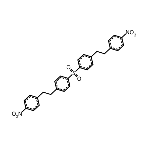 O=[N+]([O-])c1ccc(CCc2ccc(S(=O)(=O)c3ccc(CCc4ccc([N+](=O)[O-])cc4)cc3)cc2)cc1